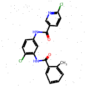 Cc1ccccc1C(=O)Nc1cc(NC(=O)c2ccc(Cl)nc2)ccc1Cl